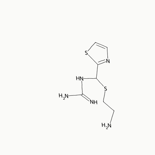 N=C(N)NC(SCCN)c1nccs1